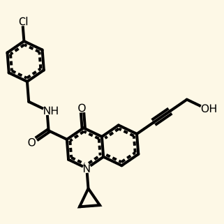 O=C(NCc1ccc(Cl)cc1)c1cn(C2CC2)c2ccc(C#CCO)cc2c1=O